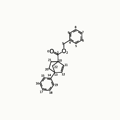 O=C(OCc1ccccc1)C12C=CC(c3ccccc3)(CC1)C2